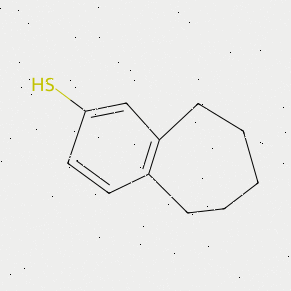 Sc1ccc2c(c1)CCCCC2